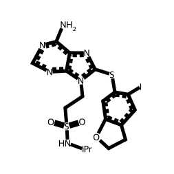 CC(C)NS(=O)(=O)CCn1c(Sc2cc3c(cc2I)CCO3)nc2c(N)ncnc21